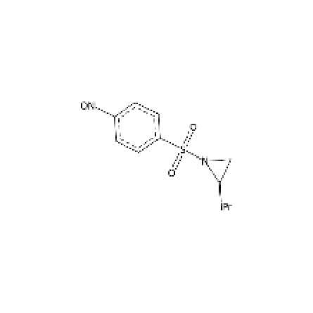 CC(C)C1CN1S(=O)(=O)c1ccc(N=O)cc1